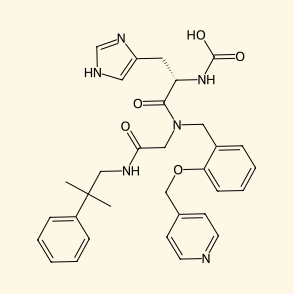 CC(C)(CNC(=O)CN(Cc1ccccc1OCc1ccncc1)C(=O)[C@H](Cc1c[nH]cn1)NC(=O)O)c1ccccc1